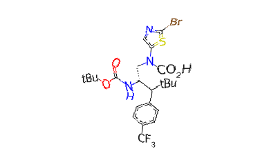 CC(C)(C)OC(=O)N[C@H](CN(C(=O)O)c1cnc(Br)s1)C(c1ccc(C(F)(F)F)cc1)C(C)(C)C